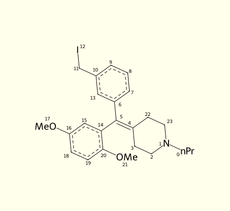 CCCN1CCC(=C(c2cccc(CI)c2)c2cc(OC)ccc2OC)CC1